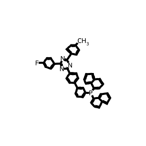 Cc1ccc(-c2nc(-c3ccc(F)cc3)nc(-c3ccc(-c4cccc(P(c5cccc6ccccc56)c5cccc6ccccc56)c4)cc3)n2)cc1